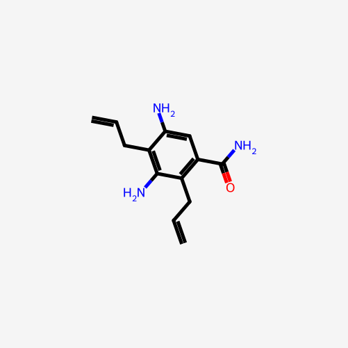 C=CCc1c(N)cc(C(N)=O)c(CC=C)c1N